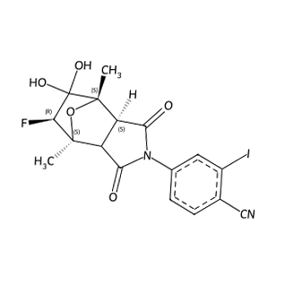 C[C@]12O[C@@](C)([C@H]3C(=O)N(c4ccc(C#N)c(I)c4)C(=O)C31)C(O)(O)[C@@H]2F